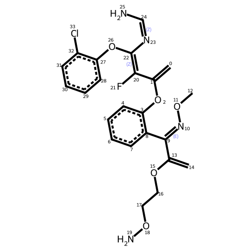 C=C(Oc1ccccc1/C(=N\OC)C(=C)OCCON)/C(F)=C(\N=C/N)Oc1ccccc1Cl